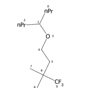 CCCC(CCC)OCCC(C)(C)C(F)(F)F